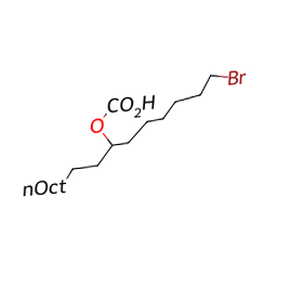 CCCCCCCCCCC(CCCCCCBr)OC(=O)O